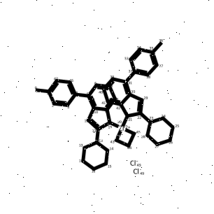 Cc1ccc(-c2cccc3c2C=C(C2CCCCC2)[CH]3[Zr+2]2([CH]3C(C4CCCCC4)=Cc4c(-c5ccc(C)cc5)cccc43)[CH2]C[CH2]2)cc1.[Cl-].[Cl-]